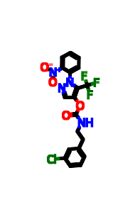 O=C(NCCc1cccc(Cl)c1)Oc1cnn(-c2ccccc2[N+](=O)[O-])c1C(F)(F)F